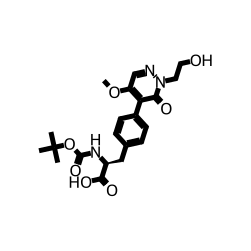 COc1cnn(CCO)c(=O)c1-c1ccc(C[C@H](NC(=O)OC(C)(C)C)C(=O)O)cc1